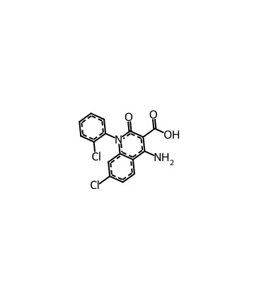 Nc1c(C(=O)O)c(=O)n(-c2ccccc2Cl)c2cc(Cl)ccc12